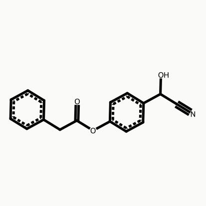 N#CC(O)c1ccc(OC(=O)Cc2ccccc2)cc1